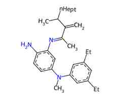 C=C(/C(C)=N/c1cc(N(C)c2cc(CC)cc(CC)c2)ccc1N)C(C)CCCCCCC